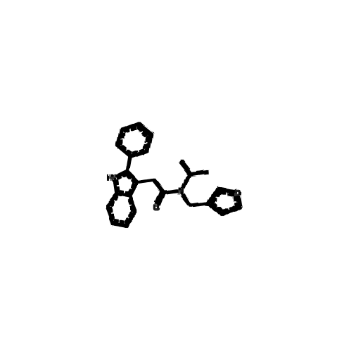 CC(C)N(Cc1ccoc1)C(=O)Cc1c(-c2ccccc2)[nH]c2ccccc12